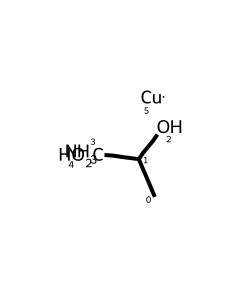 CC(O)C(=O)O.N.[Cu]